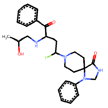 CC(O)CNC(CC(F)N1CCC2(CC1)C(=O)NCN2c1ccccc1)C(=O)c1ccccc1